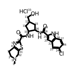 CN1CCc2nc(C(=O)NC3CC(CO)CC3NC(=O)c3cc4cc(Cl)ccc4[nH]3)sc2C1.Cl